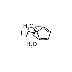 CC1(C)C2=CC=C1C=C2.O